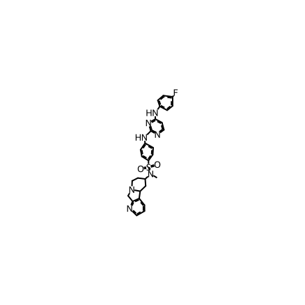 CN(C1CCN2Cc3ncccc3C2C1)S(=O)(=O)c1ccc(Nc2nccc(Nc3ccc(F)cc3)n2)cc1